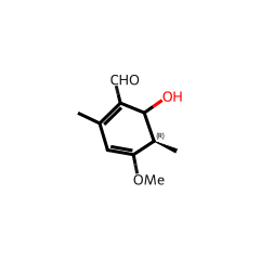 COC1=CC(C)=C(C=O)C(O)[C@H]1C